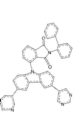 O=C1c2cccc(-n3c4ccc(-c5cncnc5)cc4c4cc(-c5cncnc5)ccc43)c2C(=O)N1c1ccccc1-c1ccccc1